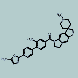 Cc1cnc(-c2ccc(-c3ccc(C(=O)N4CCc5cc6c(cc54)C4(CCN(C)CC4)CO6)cc3C)cc2)o1